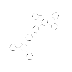 C[C@H]1C(c2ccccc2)=NC(C2=Cc3sc4cc(-c5cc(-c6cccc7c6-c6ccccc6B7)cc6c5-c5ccccc5B6)ccc4c3CC2)=NC1c1ccccc1